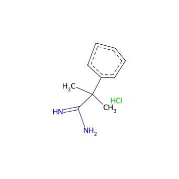 CC(C)(C(=N)N)c1ccccc1.Cl